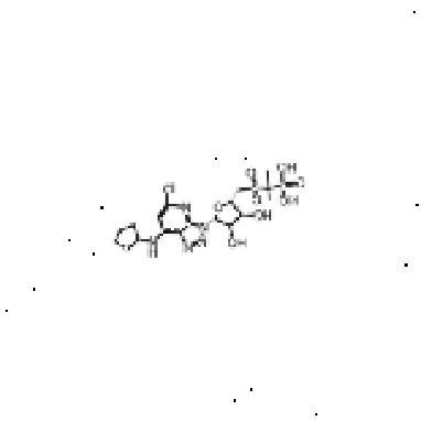 CC(C)(P(=O)(O)O)S(=O)(=O)C[C@H]1O[C@@H](n2nnc3c(NC4CCCC4)cc(Cl)nc32)[C@H](O)[C@@H]1O